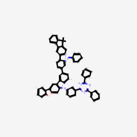 CC1(C)c2ccccc2-c2cc3c4ccc(-c5ccc6c(c5)c5cc7c(cc5n6-c5cccc(-c6nc(-c8ccccc8)nc(-c8ccccc8)n6)c5)oc5ccccc57)cc4n(-c4ccccc4)c3cc21